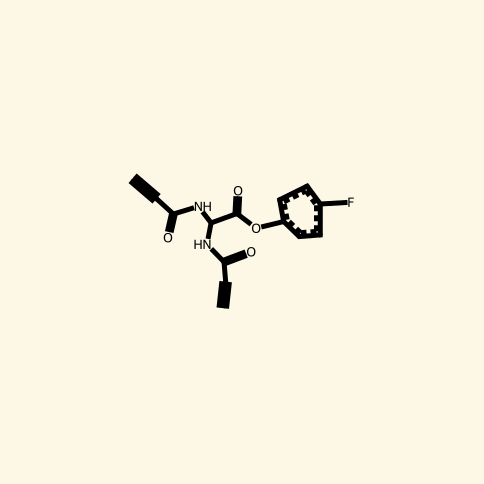 C#CC(=O)NC(NC(=O)C#C)C(=O)Oc1ccc(F)cc1